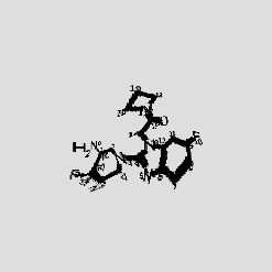 N[C@@H]1CN(c2nc3ccc(F)cc3n2CC(=O)N2CCC2)CC[C@H]1F